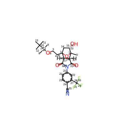 CC12OC(CCO[Si](C)(C)C(C)(C)C)(C[C@@H]1O)[C@H]1C(=O)N(c3ccc(C#N)c(C(F)(F)F)c3)C(=O)[C@H]12